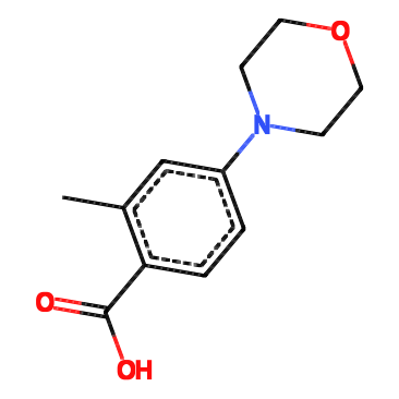 Cc1cc(N2CCOCC2)ccc1C(=O)O